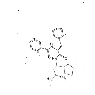 CC(C)C[C@H](NC(=O)[C@H](Cc1ccccc1)NC(=O)c1cnccn1)C1CCCC1